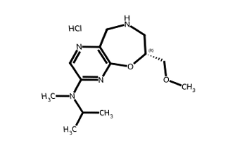 COC[C@H]1CNCc2ncc(N(C)C(C)C)nc2O1.Cl